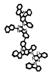 c1ccc2cc(-c3nc(-n4c5ccccc5c5c6c7ccccc7n7c8c9ccccc9ccc8c(cc54)c67)c4sc5ccc(-c6ccc7c(c6)c6c8c9ccccc9n(-c9nc(-n%10c%11ccccc%11c%11ccccc%11%10)nc%10c9oc9ccccc9%10)c8cc8c9ccc%10ccccc%10c9n7c86)cc5c4n3)ccc2c1